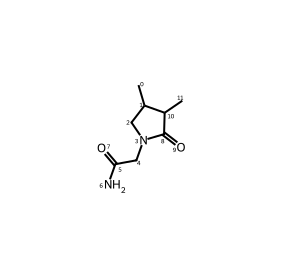 CC1CN(CC(N)=O)C(=O)C1C